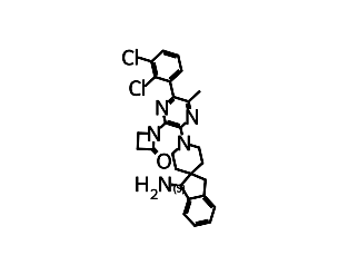 Cc1nc(N2CCC3(CC2)Cc2ccccc2[C@H]3N)c(N2CCC2=O)nc1-c1cccc(Cl)c1Cl